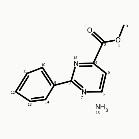 COC(=O)c1ccnc(-c2ccccc2)n1.N